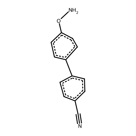 N#Cc1ccc(-c2ccc(ON)cc2)cc1